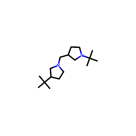 CC(C)(C)C1CCN(CC2CCN(C(C)(C)C)C2)C1